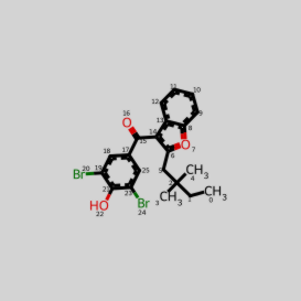 CCC(C)(C)Cc1oc2ccccc2c1C(=O)c1cc(Br)c(O)c(Br)c1